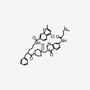 Cc1cc(Cl)c2ccc(C(=O)NCCCC(Cc3ccccc3)C(=O)N3CCC(O)(Cn4cnc5cc(NC(=O)CCN(C)C)ccc5c4=O)CC3)cc2n1